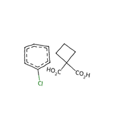 Clc1ccccc1.O=C(O)C1(C(=O)O)CCC1